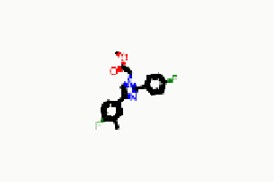 COC(=O)Cn1cc(-c2ccc(F)c(C)c2)nc1-c1ccc(F)cc1